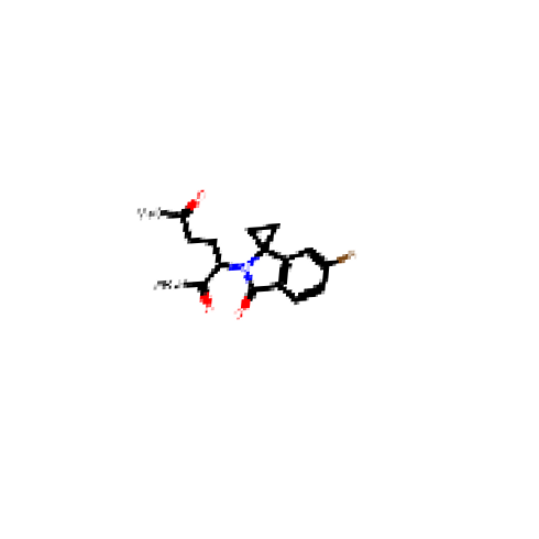 COC(=O)CCC(C(=O)OC)N1C(=O)c2ccc(Br)cc2C12CC2